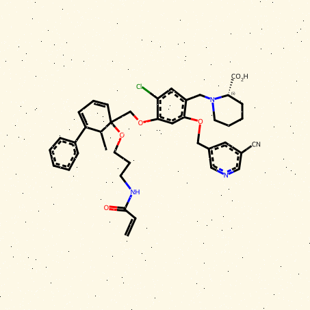 C=CC(=O)NCCCOC1(COc2cc(OCc3cncc(C#N)c3)c(CN3CCCC[C@H]3C(=O)O)cc2Cl)C=CC=C(c2ccccc2)C1C